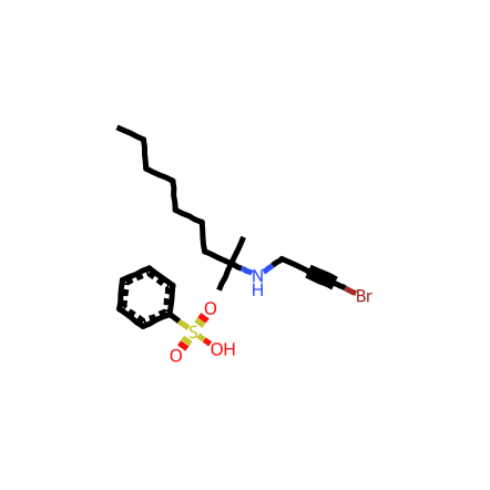 CCCCCCCC(C)(C)NCC#CBr.O=S(=O)(O)c1ccccc1